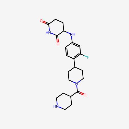 O=C1CCC(Nc2ccc(C3CCN(C(=O)C4CCNCC4)CC3)c(F)c2)C(=O)N1